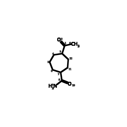 CC(=O)C1CCCC(C(N)=O)CC1